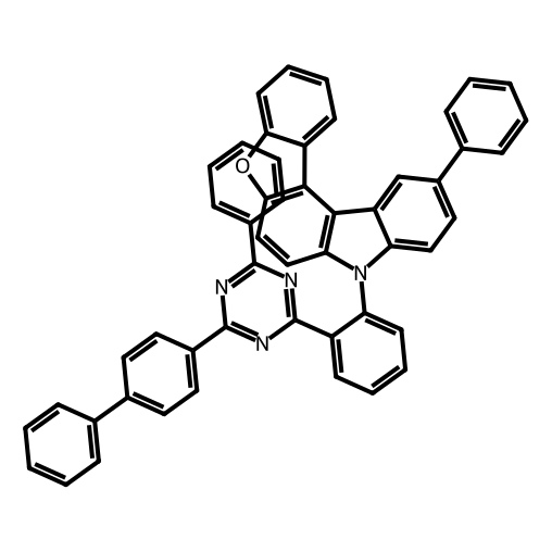 c1ccc(-c2ccc(-c3nc(-c4ccccc4)nc(-c4ccccc4-n4c5ccc(-c6ccccc6)cc5c5c6c(ccc54)oc4ccccc46)n3)cc2)cc1